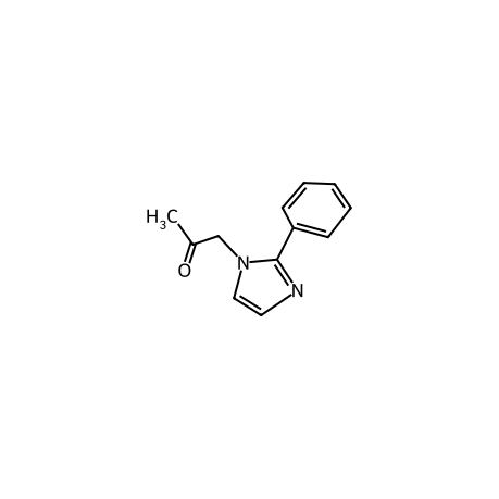 CC(=O)Cn1ccnc1-c1ccccc1